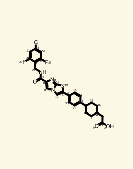 O=C(O)CC1CCC(c2ccc(-c3cn4cc(C(=O)NCc5c(F)cc(Cl)cc5F)nc4s3)cc2)CC1